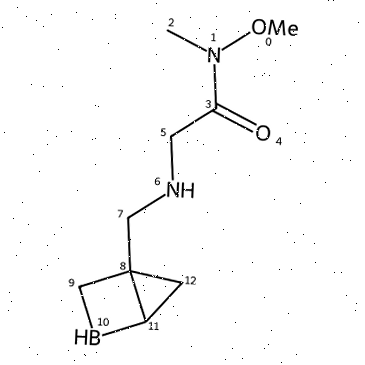 CON(C)C(=O)CNCC12CBC1C2